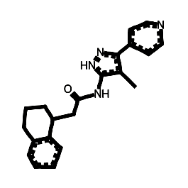 Cc1c(-c2ccncc2)n[nH]c1NC(=O)CC1CCCc2ccccc21